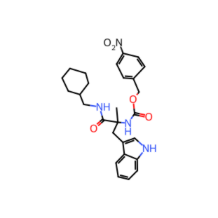 CC(Cc1c[nH]c2ccccc12)(NC(=O)OCc1ccc([N+](=O)[O-])cc1)C(=O)NCC1CCCCC1